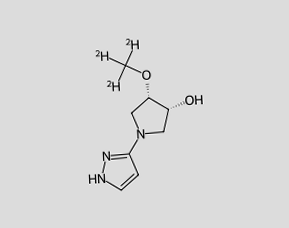 [2H]C([2H])([2H])O[C@H]1CN(c2cc[nH]n2)C[C@H]1O